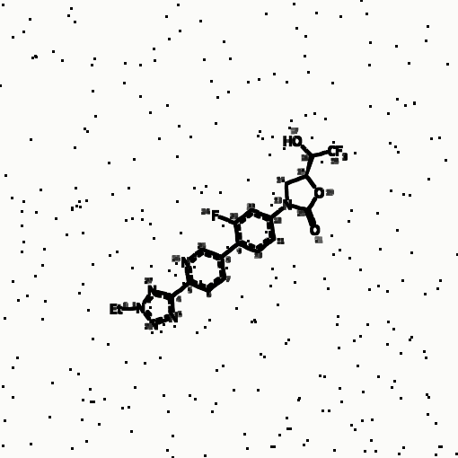 CCn1nnc(-c2ccc(-c3ccc(N4C[C@@H](C(O)C(F)(F)F)OC4=O)cc3F)cn2)n1